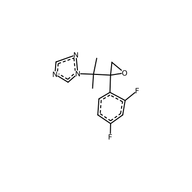 CC(C)(n1cncn1)C1(c2ccc(F)cc2F)CO1